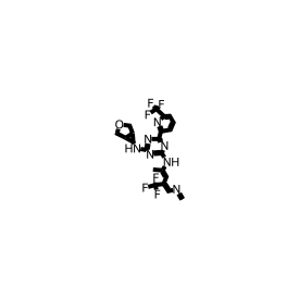 C=N/C=C(\C=C(/C)Nc1nc(NC2C3COCC32)nc(-c2cccc(C(F)(F)F)n2)n1)C(F)(F)F